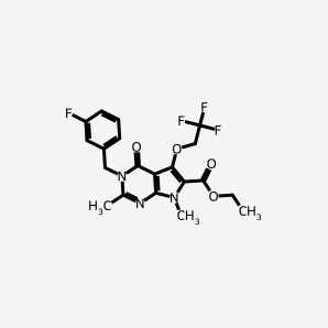 CCOC(=O)c1c(OCC(F)(F)F)c2c(=O)n(Cc3cccc(F)c3)c(C)nc2n1C